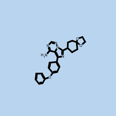 Nc1ncnn2c(C3CCC4(CC3)OCCO4)nc(-c3ccc(Oc4ccccc4)cc3)c12